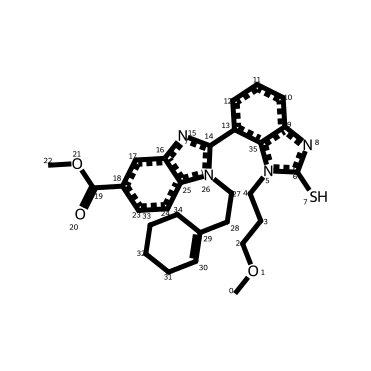 COCCCn1c(S)nc2cccc(-c3nc4cc(C(=O)OC)ccc4n3CCC3=CCCCC3)c21